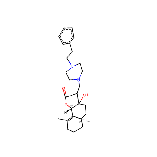 CC1=C2[C@@H]3OC(=O)C(CN4CCN(CCc5ccccc5)CC4)C3(O)CC[C@@]2(C)CCC1